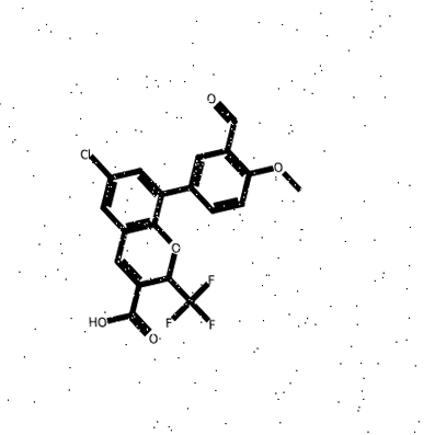 COc1ccc(-c2cc(Cl)cc3c2OC(C(F)(F)F)C(C(=O)O)=C3)cc1C=O